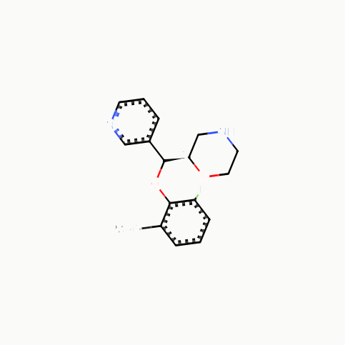 COc1cccc(F)c1OC(c1cccnc1)[C@H]1CNCCO1